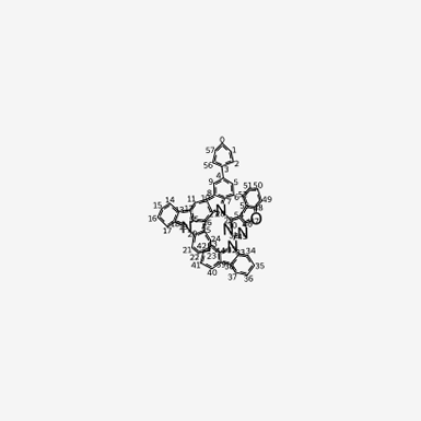 c1ccc(-c2ccc3c(c2)c2cc4c5ccccc5n5c6ccccc6c(c2n3-c2nc(-n3c6ccccc6c6ccccc63)nc3oc6ccccc6c23)c45)cc1